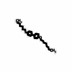 CCCCCCCCOc1ccc(-c2ccc(SCCCCCCC)cc2)cc1